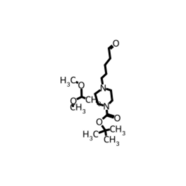 CC(C)(C)OC(=O)N1CCN(CCCCC=O)CC1.COC(C)OC